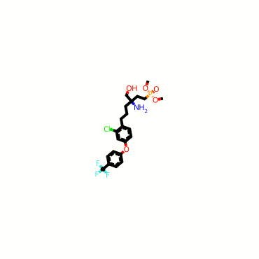 COP(=O)(CCC(N)(CO)CCCc1ccc(Oc2ccc(C(F)(F)F)cc2)cc1Cl)OC